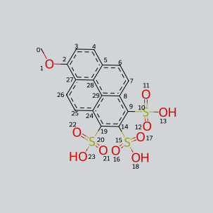 COc1ccc2ccc3c(S(=O)(=O)O)c(S(=O)(=O)O)c(S(=O)(=O)O)c4ccc1c2c34